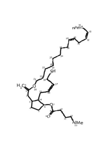 C=C(CC1CCC(OC(=O)CCCNC)C1C/C=C\CS)OCCCCCCCC/C=C\C/C=C\CCCCC